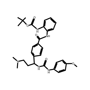 COc1ccc(NC(=O)NC(CCN(C)C)c2ccc(C(=O)Nc3ccccc3NC(=O)OC(C)(C)C)cc2)cc1